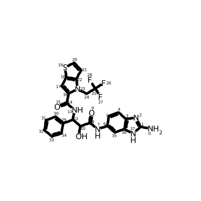 Nc1nc2ccc(NC(=O)C(O)C(NC(=O)c3cc4sccc4n3CC(F)(F)F)c3ccccc3)cc2[nH]1